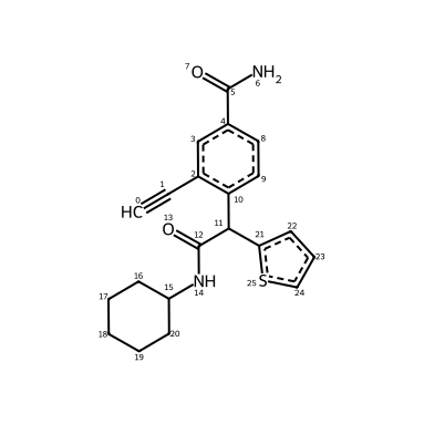 C#Cc1cc(C(N)=O)ccc1C(C(=O)NC1CCCCC1)c1cccs1